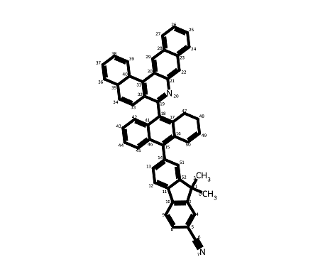 CC1(C)c2cc(C#N)ccc2-c2ccc(-c3c4c(c(-c5nc6cc7ccccc7cc6c6c5C=CC5C=CC=CC65)c5ccccc35)CCC=C4)cc21